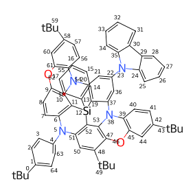 CC(C)(C)c1ccc(N2c3ccc4c5c3[Si]3(c6ccccc6)c6c(cc(-n7c8ccccc8c8ccccc87)cc6N6c7ccc(C(C)(C)C)cc7Oc7c(C(C)(C)C)cc2c3c76)N5c2ccc(C(C)(C)C)cc2O4)cc1